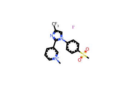 C[n+]1cccc(-c2nc(C(F)(F)F)cn2-c2ccc(S(C)(=O)=O)cc2)c1.[I-]